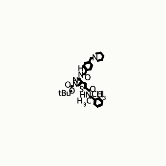 CC(C)(C)OC(=O)n1nc(NC(=O)c2ccc(CN3CCCCC3)cc2)c2cc(C(=O)NC(C)(C)c3ccccc3Cl)sc21